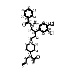 C=CCN(C(C)=O)C1CCN(CCC(CN(C)C(=O)c2ccccc2)c2ccc(Cl)c(Cl)c2)CC1